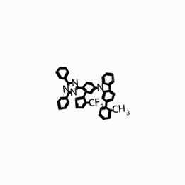 Cc1ccccc1-c1ccc2c3ccccc3n(-c3ccc(-c4nc(-c5ccccc5)nc(-c5ccccc5)n4)c(-c4ccccc4C(F)(F)F)c3)c2c1